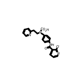 O=C(Nc1ccc(N(CCc2ccccn2)C(=O)O)cc1)c1cccnc1Cl